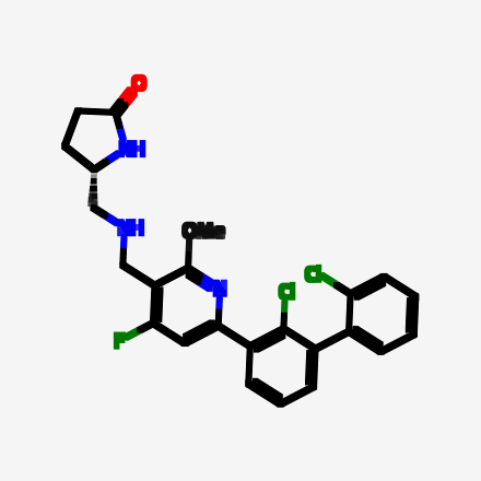 COc1nc(-c2cccc(-c3ccccc3Cl)c2Cl)cc(F)c1CNC[C@@H]1CCC(=O)N1